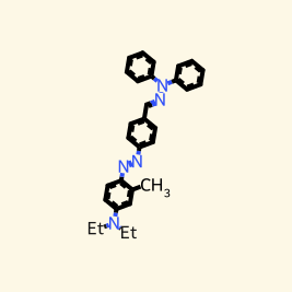 CCN(CC)c1ccc(N=Nc2ccc(C=NN(c3ccccc3)c3ccccc3)cc2)c(C)c1